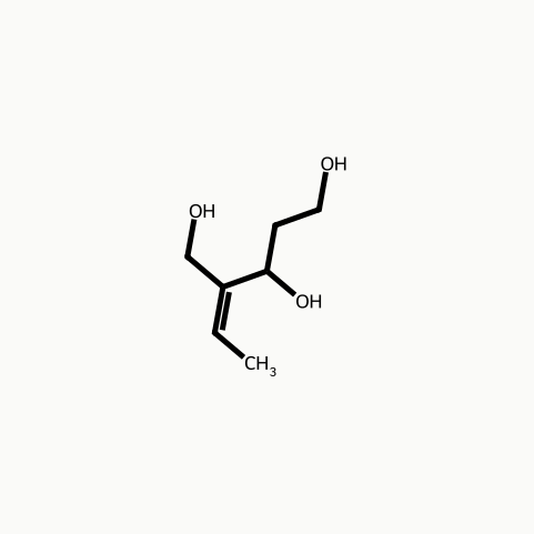 CC=C(CO)C(O)CCO